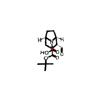 CC(C)(C)OC(=O)N1C[C@H]2CC[C@@H]([C@@H]1C=O)N2C(=O)O